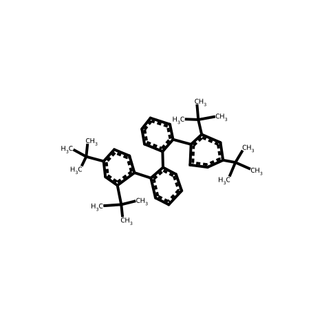 CC(C)(C)c1ccc(-c2ccccc2-c2ccccc2-c2ccc(C(C)(C)C)cc2C(C)(C)C)c(C(C)(C)C)c1